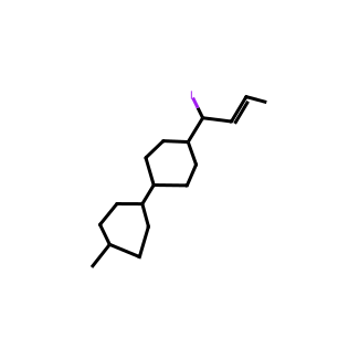 CC=CC(I)C1CCC(C2CCC(C)CC2)CC1